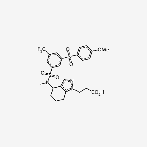 COc1ccc(S(=O)(=O)c2cc(C(F)(F)F)cc(S(=O)(=O)N(C)C3CCCc4c3cnn4CCC(=O)O)c2)cc1